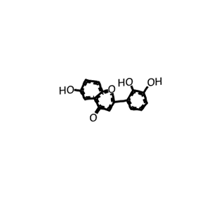 O=c1cc(-c2cccc(O)c2O)oc2ccc(O)cc12